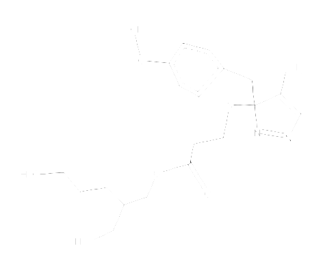 CCCCC(CC)COC(=O)CCSC1(Cc2ccc(OC)cc2)N=NC=C1C